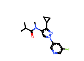 CC(C)C(=O)N(C)c1cn(-c2cncc(F)c2)nc1C1CC1